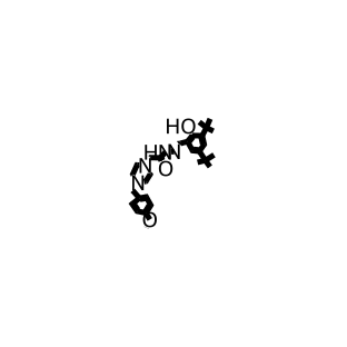 COc1ccc(CN2CCN(CC(=O)N/N=C/c3cc(C(C)(C)C)cc(C(C)(C)C)c3O)CC2)cc1